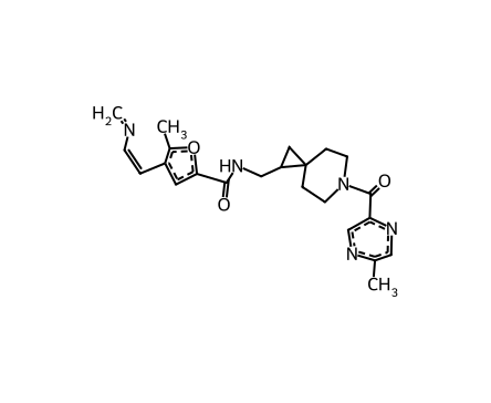 C=N/C=C\c1cc(C(=O)NCC2CC23CCN(C(=O)c2cnc(C)cn2)CC3)oc1C